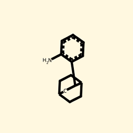 Nc1ccccc1C1CC2CCC1CC2